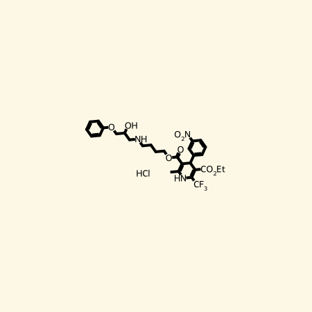 CCOC(=O)C1=C(C(F)(F)F)NC(C)=C(C(=O)OCCCCNCC(O)COc2ccccc2)C1c1cccc([N+](=O)[O-])c1.Cl